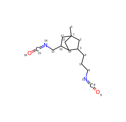 CC12CC(CCCN=C=O)C(C1)C(CN=C=O)C2